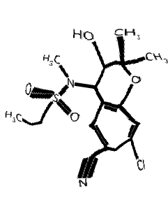 CCS(=O)(=O)N(C)C1c2cc(C#N)c(Cl)cc2OC(C)(C)C1O